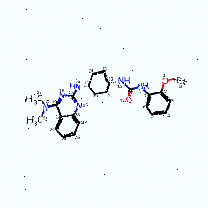 CCOc1ccccc1NC(=O)N[C@H]1CC[C@@H](Nc2nc(N(C)C)c3ccccc3n2)CC1